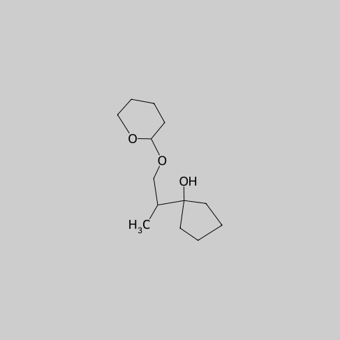 CC(COC1CCCCO1)C1(O)CCCC1